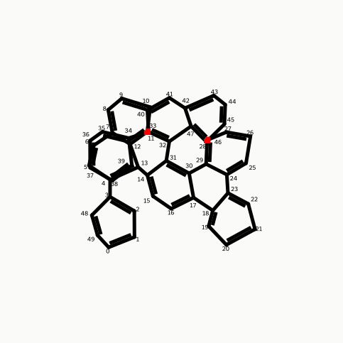 c1ccc(-c2ccc3ccccc3c2-c2ccc3c4ccccc4c4ccccc4c3c2-c2c(-c3ccccc3)ccc3ccccc23)cc1